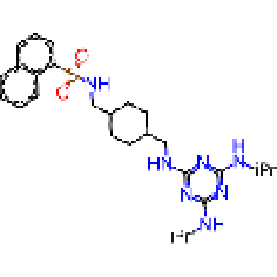 CC(C)Nc1nc(NCC2CCC(CNS(=O)(=O)c3cccc4ccccc34)CC2)nc(NC(C)C)n1